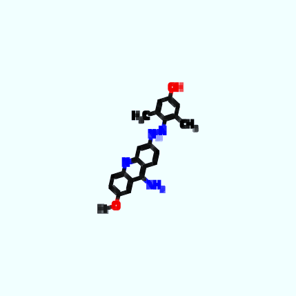 CCOc1ccc2nc3cc(/N=N/c4c(C)cc(O)cc4C)ccc3c(N)c2c1